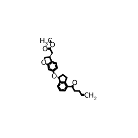 C=CCCC(=O)c1cccc2c1CC[C@H]2Oc1ccc2c(c1)OC[C@H]2CC(=O)OC